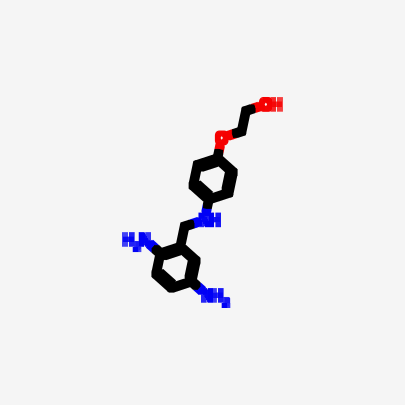 Nc1ccc(N)c(CNc2ccc(OCCO)cc2)c1